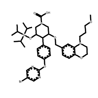 COCCCN1CCOc2ccc(COC3CN(C(=O)O)CC(O[Si](C(C)C)(C(C)C)C(C)C)C3c3ccc(Oc4ncc(Br)cn4)cc3)cc21